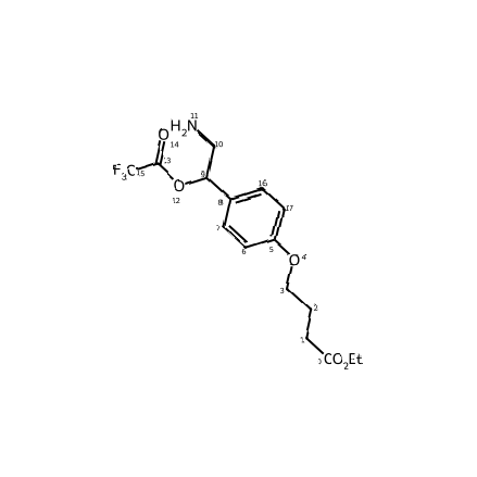 CCOC(=O)CCCOc1ccc(C(CN)OC(=O)C(F)(F)F)cc1